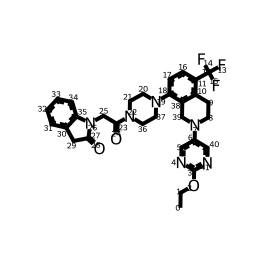 CCOc1ncc(N2CCc3c(C(F)(F)F)ccc(N4CCN(C(=O)CN5C(=O)Cc6ccccc65)CC4)c3C2)cn1